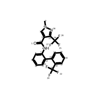 Cn1cc(C(=O)Nc2ccccc2-c2ccccc2C(F)(F)F)c(C(F)(F)F)n1